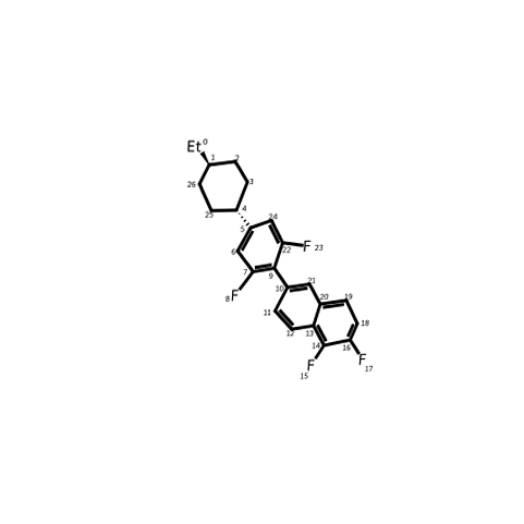 CC[C@H]1CC[C@H](c2cc(F)c(-c3ccc4c(F)c(F)ccc4c3)c(F)c2)CC1